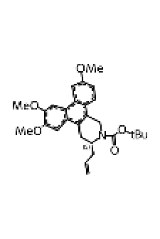 C=CC[C@H]1Cc2c(c3ccc(OC)cc3c3cc(OC)c(OC)cc23)CN1C(=O)OC(C)(C)C